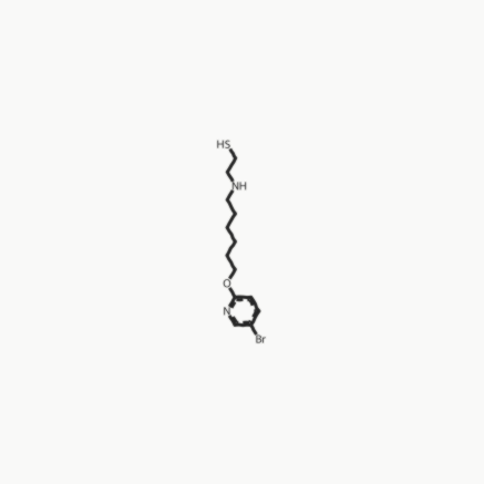 SCCNCCCCCCOc1ccc(Br)cn1